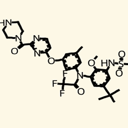 COc1c(NS(C)(=O)=O)cc(C(C)(C)C)cc1N(C(=O)C(F)(F)F)c1cc(C)cc(Oc2ccnc(C(=O)N3CCNCC3)n2)c1